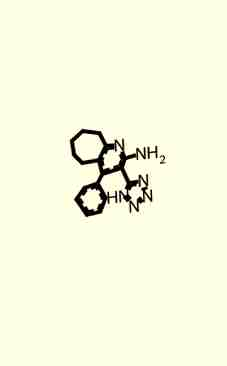 Nc1nc2c(c(-c3ccccc3)c1-c1nnn[nH]1)CCCCC2